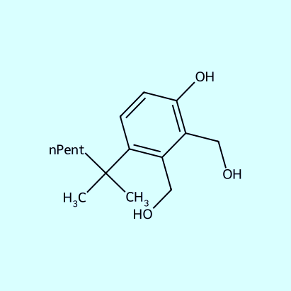 CCCCCC(C)(C)c1ccc(O)c(CO)c1CO